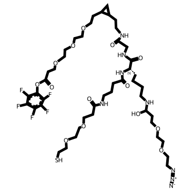 [N-]=[N+]=NCCOCCOCCC(O)NCCCC[C@H](NC(=O)CCCNC(=O)CCOCCOCCS)C(=O)NCC(=O)NCCC1CC1CCOCCOCCOCCC(=O)Oc1c(F)c(F)c(F)c(F)c1F